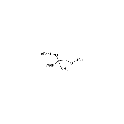 CCCCCOC([SiH3])(COC(C)(C)C)NC